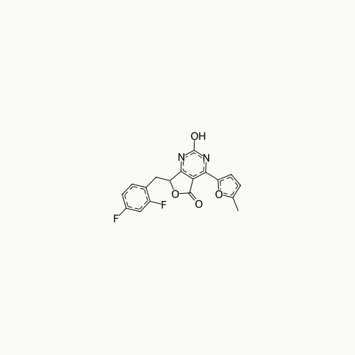 Cc1ccc(-c2nc(O)nc3c2C(=O)OC3Cc2ccc(F)cc2F)o1